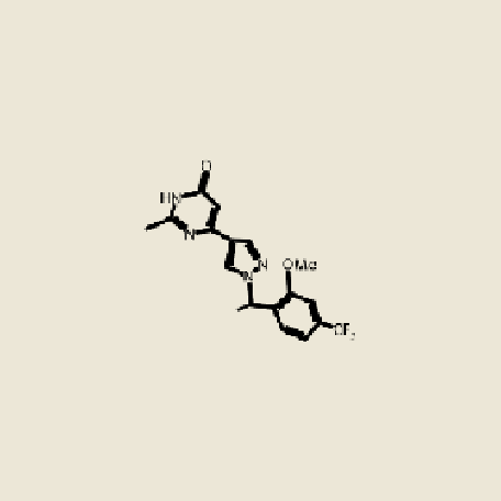 COc1cc(C(F)(F)F)ccc1[C@@H](C)n1cc(-c2cc(=O)[nH]c(C)n2)cn1